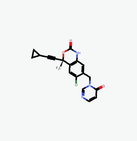 O=C1Nc2cc(Cn3cnccc3=O)c(Cl)cc2[C@@](C#CC2CC2)(C(F)(F)F)O1